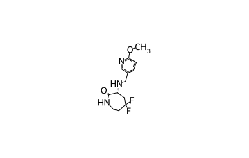 COc1ccc(CN[C@@H]2CC(F)(F)CCNC2=O)cn1